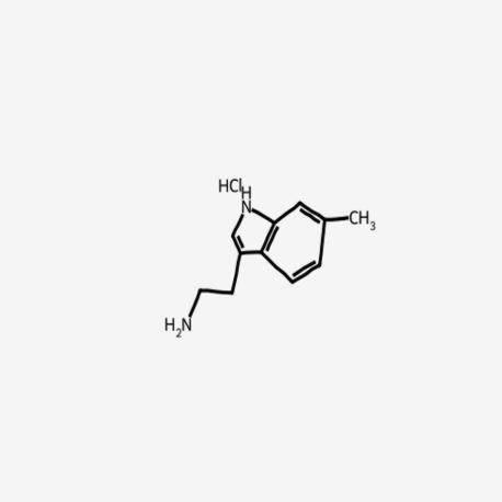 Cc1ccc2c(CCN)c[nH]c2c1.Cl